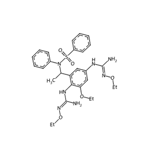 CCON=C(N)Nc1cc(OCC)c(NC(N)=NOCC)c(C(C)N(c2ccccc2)S(=O)(=O)c2ccccc2)c1